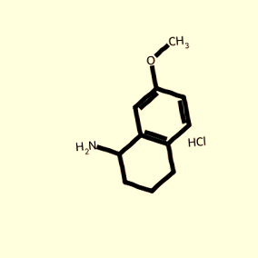 COc1ccc2c(c1)C(N)CCC2.Cl